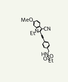 CCn1c(C#Cc2ccc(CNS(=O)(=O)CC)cc2)c(C#N)c2ccc(OC)cc21